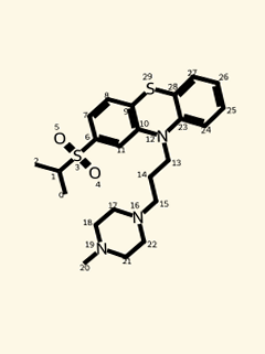 CC(C)S(=O)(=O)c1ccc2c(c1)N(CCCN1CCN(C)CC1)c1ccccc1S2